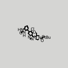 CC(C)(C)OC(=O)N1CCN2c3ncnc4cc(-c5cccc6[nH]c(=O)[nH]c56)c(Cl)c(c34)OCC2C1